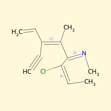 C#C\C(C=C)=C(C)/C(=N/C)C(/Cl)=C\C